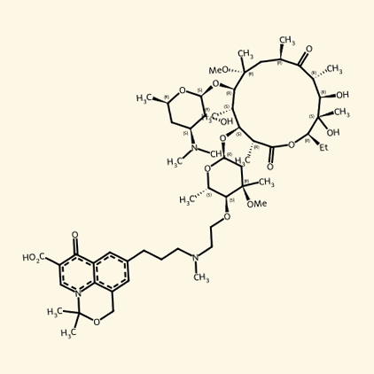 CC[C@H]1OC(=O)[C@H](C)[C@@H](O[C@H]2C[C@@](C)(OC)[C@@H](OCCN(C)CCCc3cc4c5c(c3)c(=O)c(C(=O)O)cn5C(C)(C)OC4)[C@H](C)O2)[C@H](C)[C@@H](O[C@@H]2O[C@H](C)C[C@H](N(C)C)[C@H]2O)[C@](C)(OC)C[C@@H](C)C(=O)[C@H](C)[C@@H](O)[C@]1(C)O